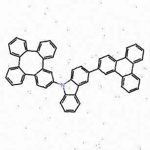 c1ccc2c(c1)-c1ccccc1-c1ccc(-n3c4ccccc4c4cc(-c5ccc6c7ccccc7c7ccccc7c6c5)ccc43)cc1-c1ccccc1-2